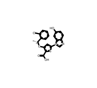 C[C@@H](Oc1cc(-n2cnc3ccc(O)cc32)sc1C(=O)O)c1ccccc1Cl